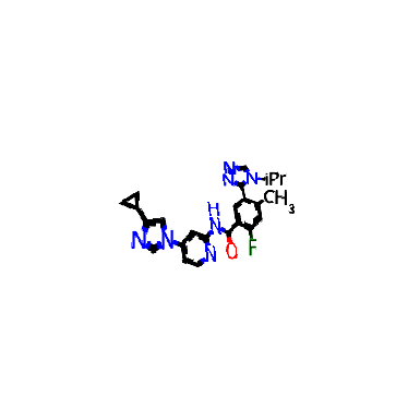 Cc1cc(F)c(C(=O)Nc2cc(-n3cnc(C4CC4)c3)ccn2)cc1-c1nncn1C(C)C